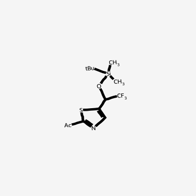 CC(=O)c1ncc(C(O[Si](C)(C)C(C)(C)C)C(F)(F)F)s1